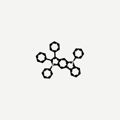 c1ccc(-c2c(-c3ccccc3)n(-c3ccccc3)c3cc4c5ccccc5n(-c5ccccc5)c4cc23)cc1